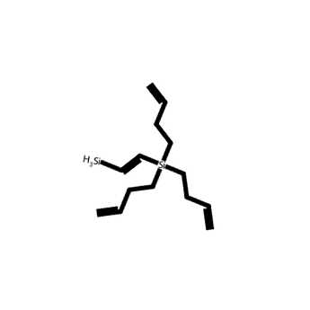 C=CCC[Si](C=C[SiH3])(CCC=C)CCC=C